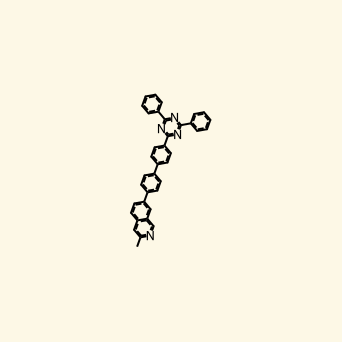 Cc1cc2ccc(-c3ccc(-c4ccc(-c5nc(-c6ccccc6)nc(-c6ccccc6)n5)cc4)cc3)cc2cn1